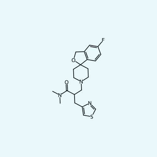 CN(C)C(=O)C(Cc1cscn1)CN1CCC2(CC1)OCc1cc(F)ccc12